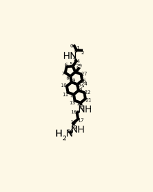 CC(C)NCC1CCC2C3CCC4CC(NCCCNN)CC[C@]4(C)C3CCC12C